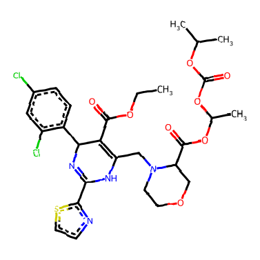 CCOC(=O)C1=C(CN2CCOCC2C(=O)OC(C)OC(=O)OC(C)C)NC(c2nccs2)=NC1c1ccc(Cl)cc1Cl